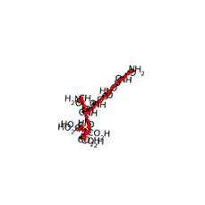 C[C@H](CCCCNC(=O)[C@H](CCCCNC(=O)CC[C@@H](C(=O)O)N(CCN(CC(=O)O)CC(=O)O)CCN(CC(=O)O)CC(=O)O)NC(=O)CCCC(=O)NCCOCCOCC(=O)NCCOCCOCC(=O)NCCCCCC(N)=O)C(N)=O